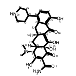 CN(C)[C@@H]1C(O)=C(C(N)=O)C(=O)[C@@]2(O)C(O)=C3C(=O)c4c(O)ccc(C5CCNCC5)c4C[C@H]3C[C@@H]12